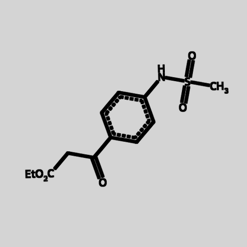 CCOC(=O)CC(=O)c1ccc(NS(C)(=O)=O)cc1